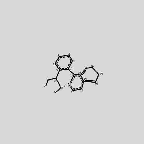 CCC(CC)c1ccccc1-c1nccc2c1=CCCC=2